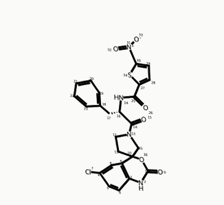 O=C1Nc2ccc(Cl)cc2C2(CCN(C(=O)[C@H](Cc3ccccc3)NC(=O)c3ccc([N+](=O)[O-])s3)C2)O1